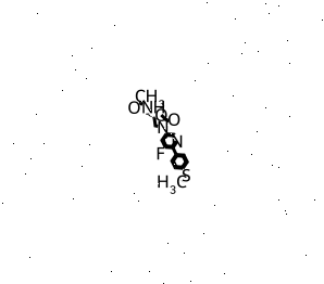 CSc1ccc(-c2ncc(N3C[C@H](CNC(C)=O)OC3=O)cc2F)cc1